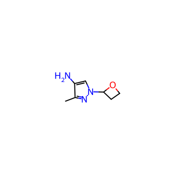 Cc1nn(C2CCO2)cc1N